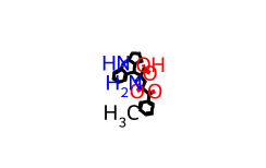 Cc1cccc(C(=O)C(=O)CC(N)(C(=O)O)C2c3ccccc3NC3CCCC32)c1